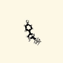 CCCc1nc(-c2ccc(Cl)cc2)cs1